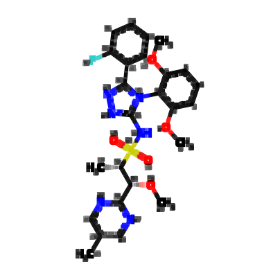 COc1cccc(OC)c1-n1c(NS(=O)(=O)[C@@H](C)[C@H](OC)c2ncc(C)cn2)nnc1-c1ccccc1F